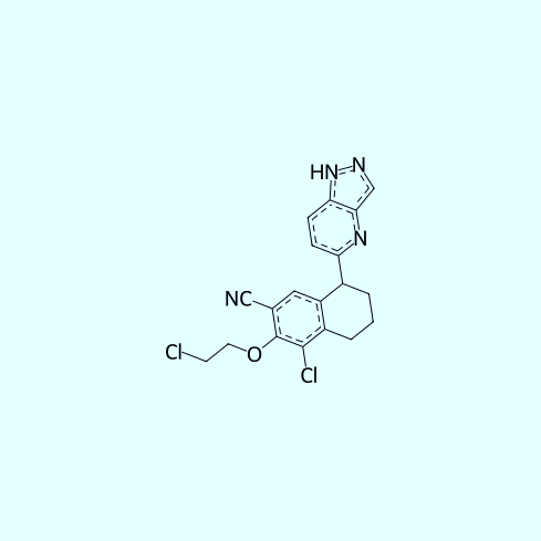 N#Cc1cc2c(c(Cl)c1OCCCl)CCCC2c1ccc2[nH]ncc2n1